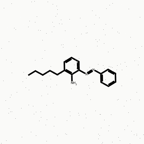 CCCCCc1cccc(N=Nc2ccccc2)c1N